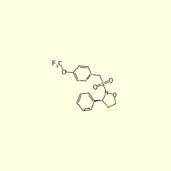 O=S(=O)(Cc1ccc(OC(F)(F)F)cc1)N1OCC[C@H]1c1ccccc1